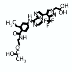 CCc1cc(Nc2nccn3c(-c4cn(CC(O)O)nc4C(F)(F)F)cnc23)ccc1C(=O)NCCOC[C@@H](C)O